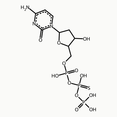 Nc1ccn(C2CC(O)C(COP(=O)(O)OP(O)(=S)OP(=O)(O)O)O2)c(=O)n1